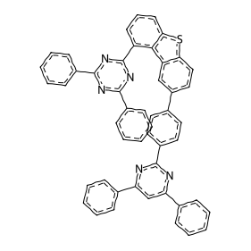 c1ccc(-c2cc(-c3ccccc3)nc(-c3ccc(-c4ccc5sc6cccc(-c7nc(-c8ccccc8)nc(-c8ccccc8)n7)c6c5c4)cc3)n2)cc1